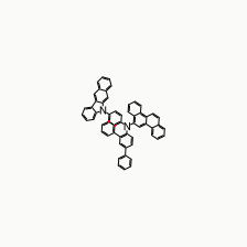 c1ccc(-c2ccc(N(c3ccc(-n4c5ccccc5c5cc6ccccc6cc54)cc3)c3cc4c5ccccc5ccc4c4ccccc34)c(-c3ccccc3)c2)cc1